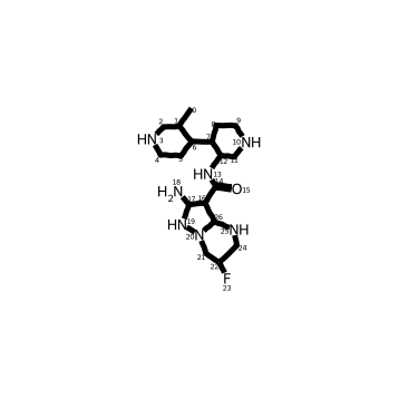 CC1CNCCC1C1CCNCC1NC(=O)C1C(N)NN2CC(F)CNC12